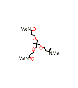 C=C(CCOCC(C)(COCCC(=O)NC)COCCC(=O)NC)NC